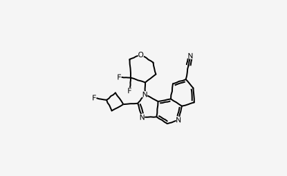 N#Cc1ccc2ncc3nc(C4CC(F)C4)n(C4CCOCC4(F)F)c3c2c1